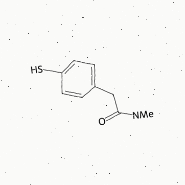 CNC(=O)Cc1ccc(S)cc1